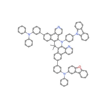 C[Si]1(C)c2c(c3ccncc3c3cc(-c4cccc(N(c5ccccc5)c5ccccc5)c4)ccc23)N(c2ccc(-n3c4ccccc4c4ccccc43)cc2)c2c1c1ccc(-c3cccc(N(c4ccccc4)c4ccc5oc6ccccc6c5c4)c3)cc1c1cccnc21